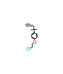 CC(C)(C)CC(C)(C)c1ccc(OCCCl)cc1